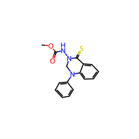 COC(=O)NN1CN(c2ccccc2)c2ccccc2C1=S